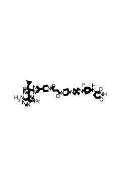 CC(C)n1nc(-c2noc(C3CC3)c2-c2ncc(C3CCN(C(=O)CCC(=O)N4CCC(N5CC6(CN(c7ccc(NC8CCC(=O)NC8=O)cc7F)C6)C5)CC4)CC3)cn2)c2c(N)ncnc21